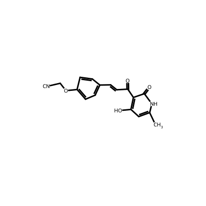 [C-]#[N+]COc1ccc(/C=C/C(=O)c2c(O)cc(C)[nH]c2=O)cc1